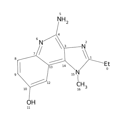 CCc1nc2c(N)nc3ccc(O)cc3c2n1C